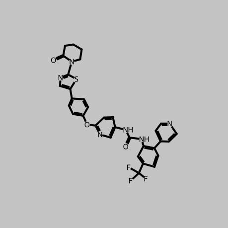 O=C(Nc1ccc(Oc2ccc(-c3cnc(N4CCCCC4=O)s3)cc2)nc1)Nc1cc(C(F)(F)F)ccc1-c1ccncc1